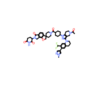 CC(=O)N1CCc2c(c(N3CCCc4cc(-c5cnn(C)c5)c(C(F)F)cc43)nn2C2CCC(C(=O)N3CCC4(CC3)COc3c4ccc4c3CN(C3CCC(=O)NC3=O)C4=O)CC2)C1